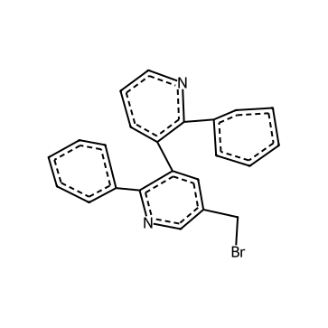 BrCc1cnc(-c2ccccc2)c(-c2cccnc2-c2ccccc2)c1